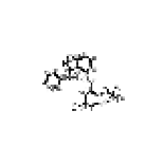 FC(F)(F)Oc1ccc(Cl)cc1COc1cccc2onc(Nc3cccnc3)c12